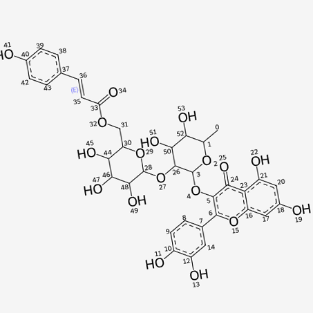 CC1OC(Oc2c(-c3ccc(O)c(O)c3)oc3cc(O)cc(O)c3c2=O)C(OC2OC(COC(=O)/C=C/c3ccc(O)cc3)C(O)C(O)C2O)C(O)C1O